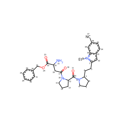 CCn1c(CCC2CCCN2C(=O)C2CCCN2C(=O)CC(N)C(=O)OCc2ccccc2)cc2ccc(C#N)cc21